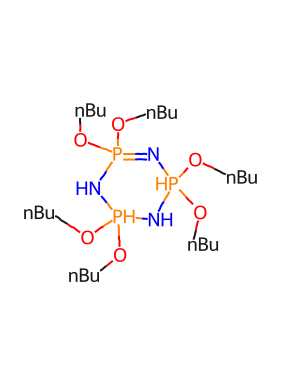 CCCCOP1(OCCCC)=N[PH](OCCCC)(OCCCC)N[PH](OCCCC)(OCCCC)N1